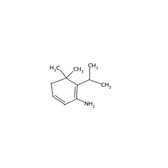 CC(C)C1=C(N)C=CCC1(C)C